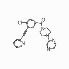 O=C(c1ccc(Cl)c(C#Cc2ccccn2)c1)N1CCN(c2cnccn2)CC1